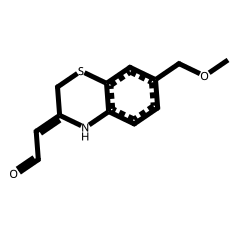 COCc1ccc2c(c1)SC/C(=C/C=O)N2